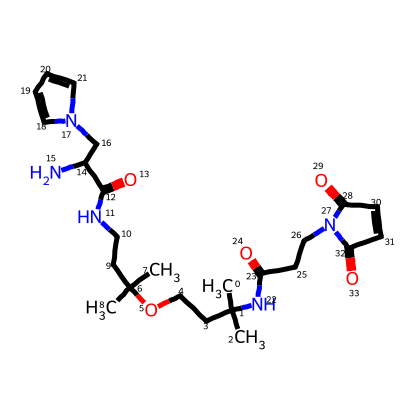 CC(C)(CCOC(C)(C)CCNC(=O)C(N)Cn1cccc1)NC(=O)CCN1C(=O)C=CC1=O